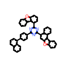 c1ccc2c(-c3ccc(-c4nc(-c5cc6oc7ccccc7c6c6ccccc56)nc(-c5cccc6oc7ccccc7c56)n4)cc3)cccc2c1